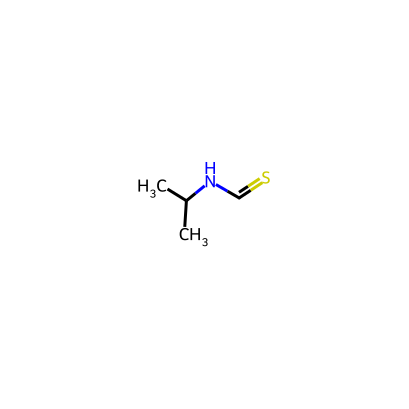 CC(C)NC=S